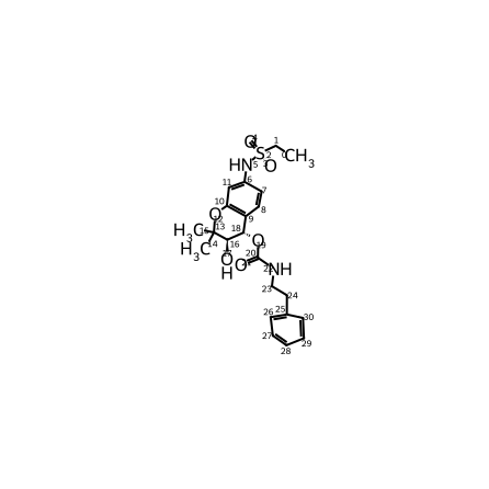 CCS(=O)(=O)Nc1ccc2c(c1)OC(C)(C)[C@H](O)[C@H]2OC(=O)NCCc1ccccc1